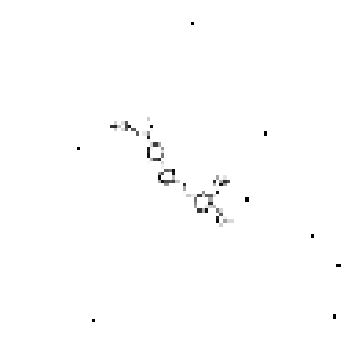 CCC(CCO)c1ccc(-c2cc(CCc3ccc(CO)c(CO)c3)cs2)c(C)c1